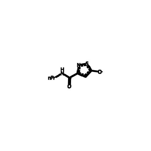 CCCNC(=O)c1cc([O])sn1